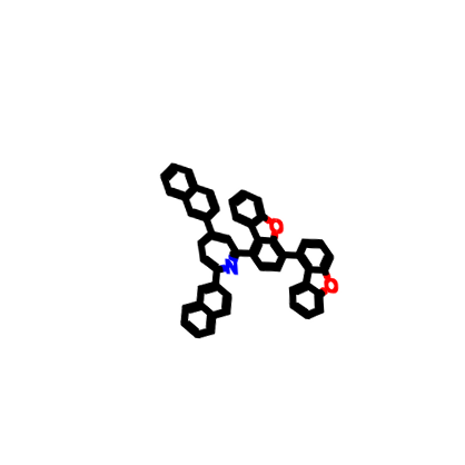 C1=C(c2ccc3ccccc3c2)CC=C(c2ccc3ccccc3c2)N=C1c1ccc(-c2cccc3oc4ccccc4c23)c2oc3ccccc3c12